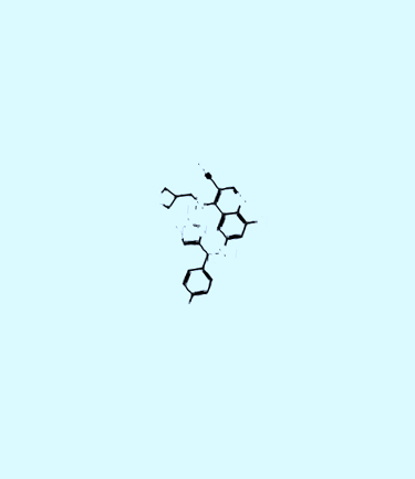 N#Cc1cnc2c(Cl)cc(N[C@H](C3=CNNN3)c3ccc(F)cc3)cc2c1NCC1COC1